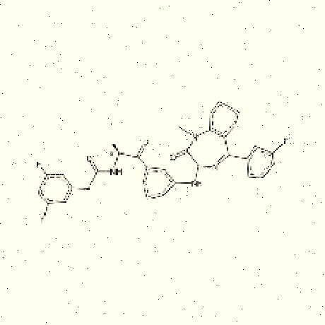 C[C@H](NC(=O)Cc1cc(F)cc(F)c1)C(=O)c1cccc(NC2N=C(c3cccc(F)c3)c3ccccc3N(C)C2=O)c1